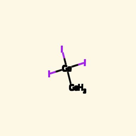 [GeH3][Ge]([I])([I])[I]